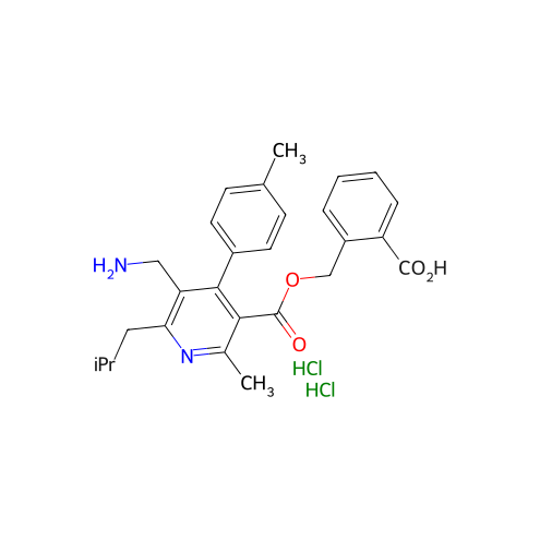 Cc1ccc(-c2c(CN)c(CC(C)C)nc(C)c2C(=O)OCc2ccccc2C(=O)O)cc1.Cl.Cl